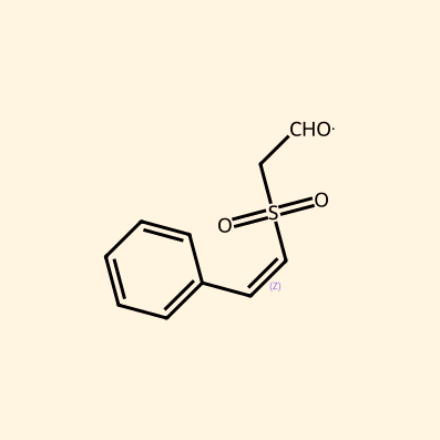 O=[C]CS(=O)(=O)/C=C\c1ccccc1